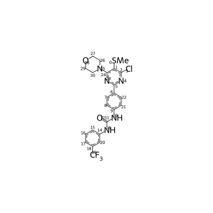 CSc1c(Cl)nc(-c2ccc(NC(=O)Nc3cccc(C(F)(F)F)c3)cc2)nc1N1CCOCC1